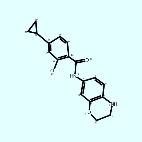 O=C(Nc1ccc2c(c1)OCCN2)c1ccc(C2CC2)cc1Cl